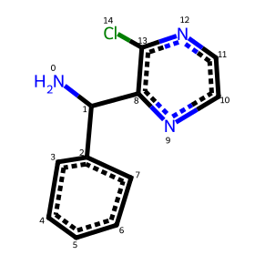 NC(c1ccccc1)c1nccnc1Cl